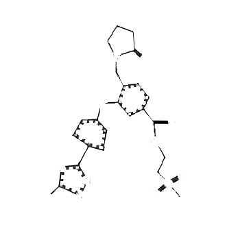 Cc1nnc(-c2ccc(Oc3cc(C(=O)NCCS(C)(=O)=O)ccc3CN3CCCC3=O)cc2)s1